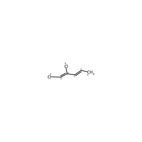 CC=C/C(Cl)=[C]/Cl